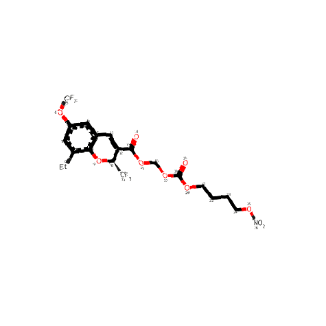 CCc1cc(OC(F)(F)F)cc2c1O[C@H](C(F)(F)F)C(C(=O)OCOC(=O)OCCCCO[N+](=O)[O-])=C2